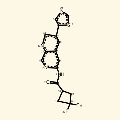 O=C(Nc1cc2cc(-c3cncs3)cnc2cn1)C1CC(F)(F)C1